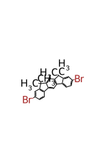 CC1(C)c2cc(Br)ccc2-c2cc3c(cc21)C(C)(C)c1cc(Br)ccc1-3